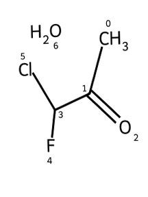 CC(=O)C(F)Cl.O